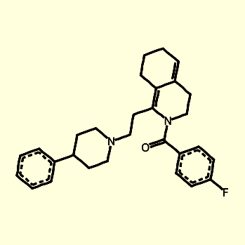 O=C(c1ccc(F)cc1)N1CCC2=CCCCC2=C1CCN1CCC(c2ccccc2)CC1